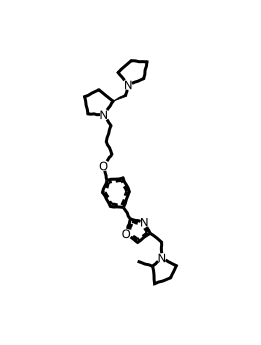 CC1CCCN1Cc1coc(-c2ccc(OCCCN3CCC[C@H]3CN3CCCC3)cc2)n1